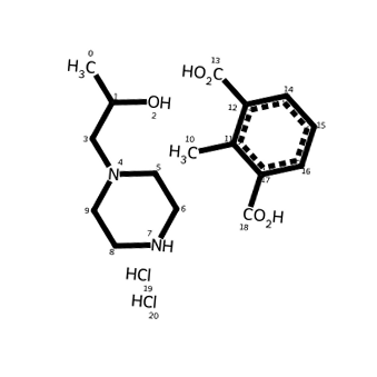 CC(O)CN1CCNCC1.Cc1c(C(=O)O)cccc1C(=O)O.Cl.Cl